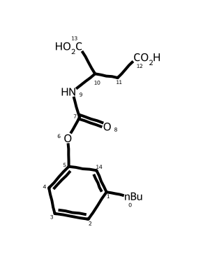 CCCCc1cccc(OC(=O)NC(CC(=O)O)C(=O)O)c1